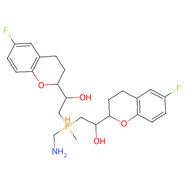 C[PH](CN)(CC(O)C1CCc2cc(F)ccc2O1)CC(O)C1CCc2cc(F)ccc2O1